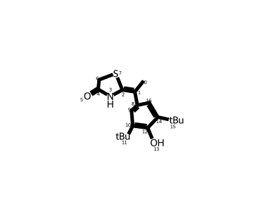 CC(=C1NC(=O)CS1)c1cc(C(C)(C)C)c(O)c(C(C)(C)C)c1